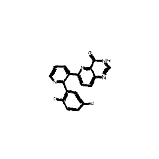 O=c1[nH]cnc2ccc(-c3cccnc3-c3cc(Cl)ccc3F)nc12